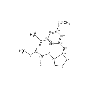 CCOC(=O)CC1CCCC1Sc1nc(OC)cc(OC)n1